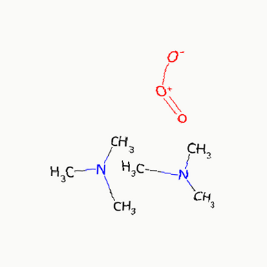 CN(C)C.CN(C)C.O=[O+][O-]